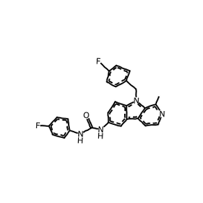 Cc1nccc2c3cc(NC(=O)Nc4ccc(F)cc4)ccc3n(Cc3ccc(F)cc3)c12